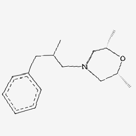 CC(Cc1ccccc1)CN1C[C@@H](C)O[C@@H](C)C1